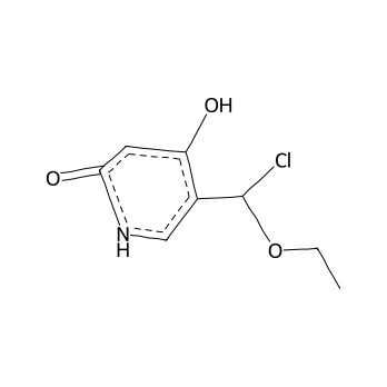 CCOC(Cl)c1c[nH]c(=O)cc1O